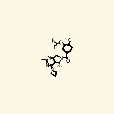 Cc1nc2c(c(N3CCC3)n1)[C@@H](C)N(C(=O)c1ccc(Cl)c(OC(F)F)c1)C2